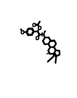 COc1ccc(C(OC(C)=O)C(=O)N(C)C2CCC3C(=CCC4C3CCC35C4CCC3C(C)N(C)[C@H]5C)C2)cc1